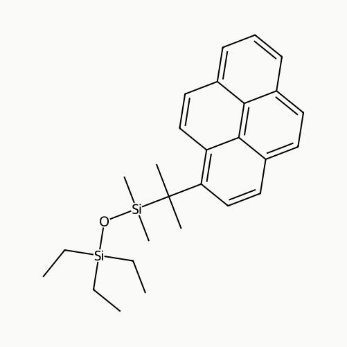 CC[Si](CC)(CC)O[Si](C)(C)C(C)(C)c1ccc2ccc3cccc4ccc1c2c34